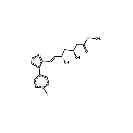 COC(=O)C[C@@H](O)C[C@H](O)/C=C/c1occc1-c1ccc(F)cc1